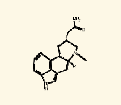 CN1C[C@H](CC(N)=O)CC2c3cccc4[nH]cc(c34)C[C@H]21